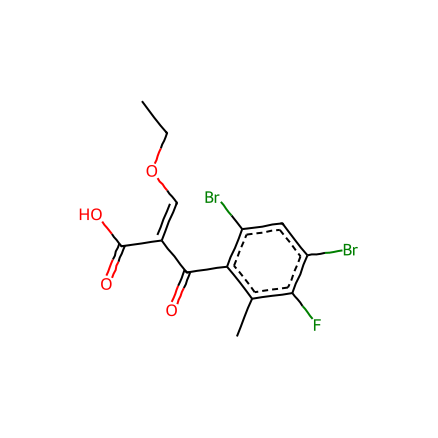 CCOC=C(C(=O)O)C(=O)c1c(Br)cc(Br)c(F)c1C